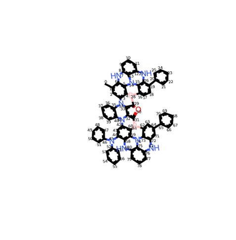 Cc1cc2c3c4c1Nc1cccc5c1N4c1c(ccc(-c4ccccc4)c1N5)B3c1oc3c4c1N2c1ccccc1N4c1cc(N(c2ccccc2)c2ccccc2)c2c4c1B3c1cc(-c3ccccc3)cc3c1N4c1c(cccc1N2)N3